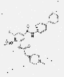 COc1c(F)cc(C(=O)Nc2ccc(-c3ccccc3)cc2)cc1NC(=O)CN1CCN(C)CC1